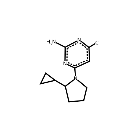 Nc1nc(Cl)cc(N2CCCC2C2CC2)n1